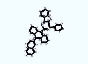 c1ccc(-c2nc(-c3c4ccccc4c(-c4ccc5ccccc5c4)c4ccccc34)nc3c2sc2ccccc23)cc1